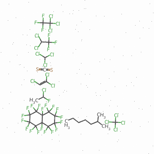 CC(F)Cl.CCCCCC(C)C.ClC(Cl)(Cl)Cl.ClC(Cl)Cl.ClC=C(Cl)Cl.FC(F)(F)C(Cl)(Cl)Cl.FC(F)(F)C(Cl)Cl.FC1(F)C(F)(F)C(F)(F)C2(F)C(F)(F)C(F)(F)C(F)(F)C(F)(F)C2(F)C1(F)F.S=C=S